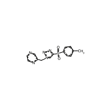 Cc1ccc(S(=O)(=O)c2cn(Cc3cnccn3)nn2)cc1